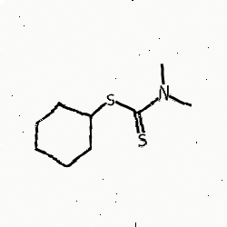 CN(C)C(=S)SC1CCCCC1